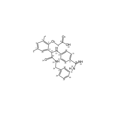 Cc1cc(C)c(OCC(=O)O)c(C(Nc2ccc(C(=N)N)cc2)C(=O)NCc2ccccc2)c1